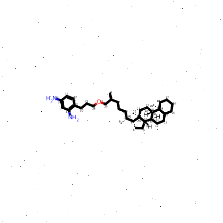 CC(CCC[C@@H](C)[C@H]1CC[C@H]2[C@@H]3CCC4CCCC[C@]4(C)[C@H]3CC[C@]12C)COCCCc1ccc(N)cc1N